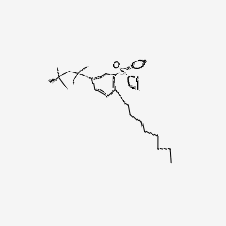 CCCCCCCCc1ccc(C(C)(C)CC(C)(C)C)cc1S(=O)(=O)Cl